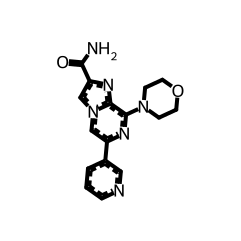 NC(=O)c1cn2cc(-c3cccnc3)nc(N3CCOCC3)c2n1